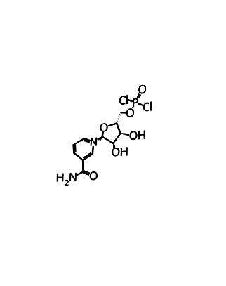 NC(=O)c1ccc[n+]([C@H]2O[C@H](COP(=O)(Cl)Cl)[C@@H](O)[C@H]2O)c1